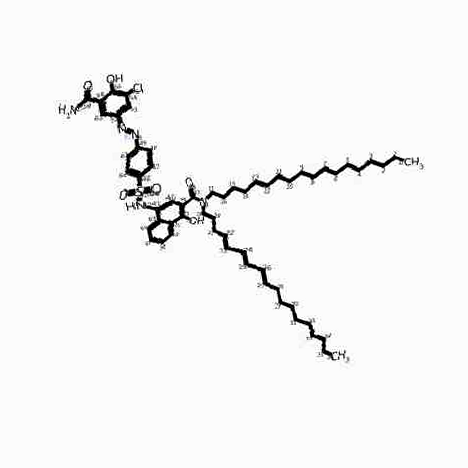 CCCCCCCCCCCCCCCCCCN(CCCCCCCCCCCCCCCCCC)C(=O)c1cc(NS(=O)(=O)c2ccc(/N=N/c3cc(Cl)c(O)c(C(N)=O)c3)cc2)c2ccccc2c1O